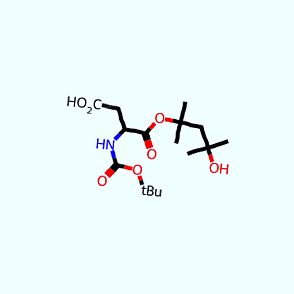 CC(C)(O)CC(C)(C)OC(=O)C(CC(=O)O)NC(=O)OC(C)(C)C